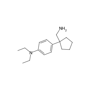 CCN(CC)c1ccc(C2(CN)CCCC2)cc1